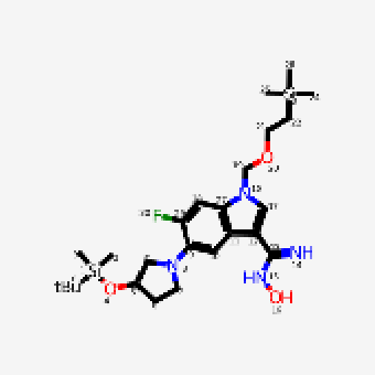 CC(C)(C)[Si](C)(C)OC1CCN(c2cc3c(C(=N)NO)cn(COCC[Si](C)(C)C)c3cc2F)C1